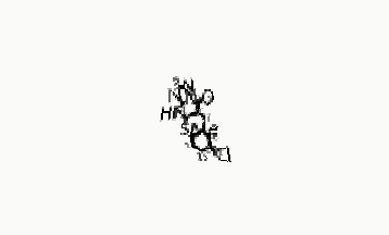 CSc1[nH]c2ncnn2c(=O)c1Cc1cccc(Cl)c1